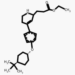 CCOC(=O)CCC1C=C(c2ccc(O[C@H]3CC[C@H](C(C)(C)C)CC3)cc2)CCN1